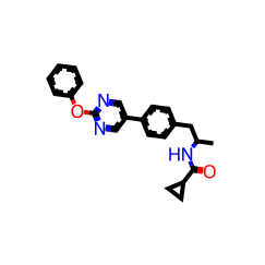 CC(Cc1ccc(-c2cnc(Oc3ccccc3)nc2)cc1)NC(=O)C1CC1